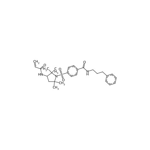 C=CC(=O)NC1CC(C)(C)N(S(=O)(=O)c2ccc(C(=O)NCCCc3ccccc3)cc2)C1(C)C